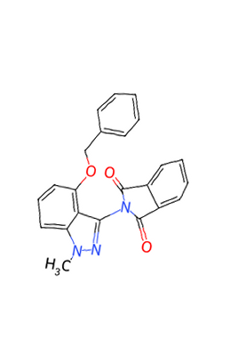 Cn1nc(N2C(=O)c3ccccc3C2=O)c2c(OCc3ccccc3)cccc21